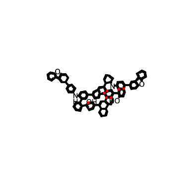 Oc1ccccc1-c1ccccc1N(c1ccc(-c2ccc3oc4ccccc4c3c2)cc1)C1C=CC=CC1c1ccc2ccc(-c3ccc(Nc4ccc(C5C=c6c(oc7ccccc67)=CC5)cc4)c(-c4ccccc4-c4ccc(C5=CC6=C(C=CCC6)C6C=CC=CC56)cc4)c3O)cc2c1